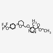 CCOC(=O)c1ncnc(OCC2CCC[C@@H](c3ccc(OC(F)(F)F)cc3)O2)c1C